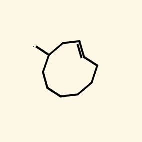 [CH2]C1C/C=C/CCCCCC1